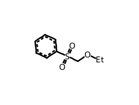 CCOCS(=O)(=O)c1ccccc1